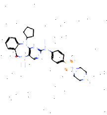 CN1CCN(S(=O)(=O)c2ccc(Nc3ncc4c(n3)N(C3CCCC3)c3ccccc3C(=O)N4)cc2)CC1